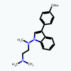 COc1ccc(-c2cn(N(C)CCN(C)C)c3ccccc23)cc1